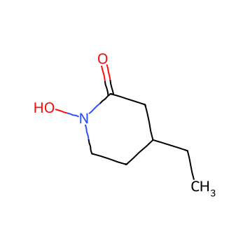 CCC1CCN(O)C(=O)C1